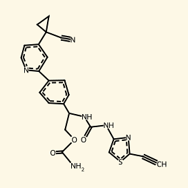 C#Cc1nc(NC(=O)NC(COC(N)=O)c2ccc(-c3cc(C4(C#N)CC4)ccn3)cc2)cs1